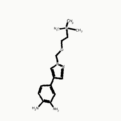 CS(C)(C)CCOCn1cc(-c2ccc(N)c(N)c2)cn1